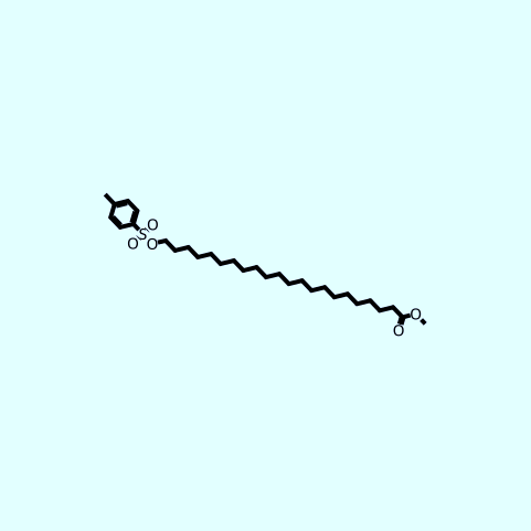 COC(=O)CCCCCCCCCCCCCCCCCCCCCOS(=O)(=O)c1ccc(C)cc1